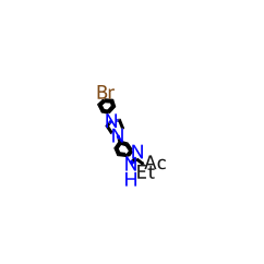 CCC(C(C)=O)c1nc2cc(N3CCN(c4ccc(Br)cc4)CC3)ccc2[nH]1